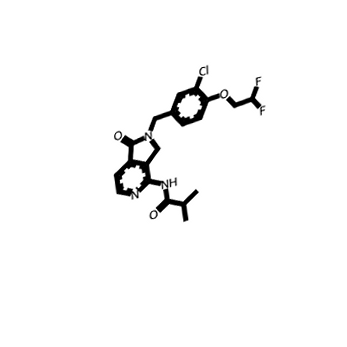 CC(C)C(=O)Nc1nccc2c1CN(Cc1ccc(OCC(F)F)c(Cl)c1)C2=O